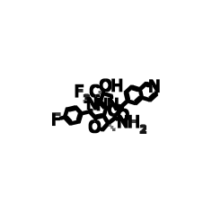 C[C@]1(C(N)=O)COc2c1cc([C@@](O)(CNC(=O)c1ccc3cnccc3c1)C(F)(F)F)nc2-c1ccc(F)cc1